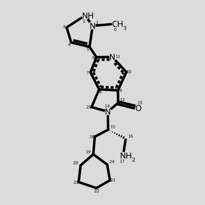 CN1NCC=C1c1cc2c(cn1)C(=O)N([C@H](CN)CC1CCCCC1)C2